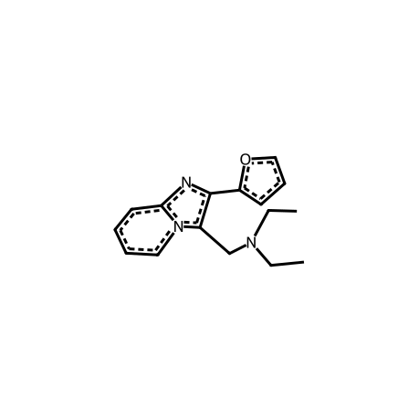 CCN(CC)Cc1c(-c2ccco2)nc2ccccn12